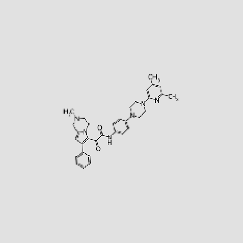 Cc1cc(C)nc(N2CCN(c3ccc(NC(=O)C(=O)c4c(-c5ccccc5)cc5n4CCN(C)C5)cc3)CC2)c1